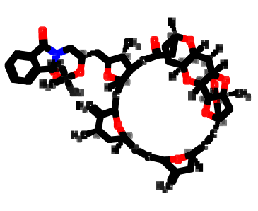 C=C1C[C@@H]2CC[C@@]34C[C@]5(C)O[C@H]6[C@@H](O3)[C@H]3O[C@H](CC[C@@H]3O[C@H]6[C@H]5O4)CC(=O)CC3[C@@H](C)C(C[C@@H](CN4C(=O)c5ccccc5C4=O)O[Si](C)(C)C(C)(C)C)O[C@H]3CC3O[C@@H](CCC1O2)C[C@@H](C)C3=C